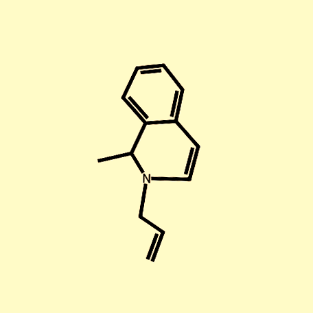 C=CCN1C=Cc2ccccc2C1C